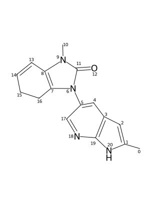 Cc1cc2cc(-n3c4c(n(C)c3=O)C=CCC4)cnc2[nH]1